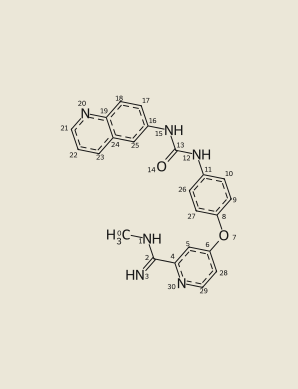 CNC(=N)c1cc(Oc2ccc(NC(=O)Nc3ccc4ncccc4c3)cc2)ccn1